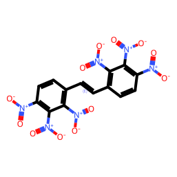 O=[N+]([O-])c1ccc(/C=C/c2ccc([N+](=O)[O-])c([N+](=O)[O-])c2[N+](=O)[O-])c([N+](=O)[O-])c1[N+](=O)[O-]